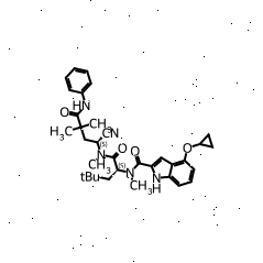 CN(C(=O)[C@H](CC(C)(C)C)N(C)C(=O)c1cc2c(OC3CC3)cccc2[nH]1)[C@H](C#N)CC(C)(C)C(=O)Nc1ccccc1